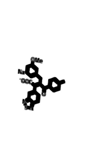 COc1cccc(C/C(C(=O)c2ccc(C)cc2)=C(\C(=O)[O-])c2ccc3nsnc3c2)c1.[Na+]